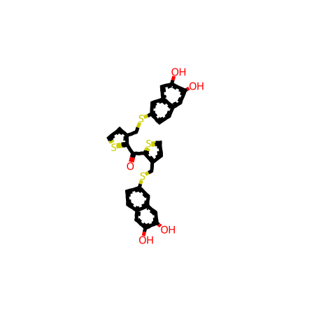 O=C(c1sccc1CSc1ccc2cc(O)c(O)cc2c1)c1sccc1CSc1ccc2cc(O)c(O)cc2c1